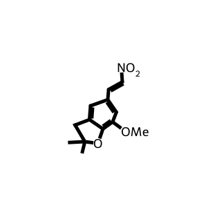 COc1cc(/C=C/[N+](=O)[O-])cc2c1OC(C)(C)C2